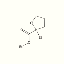 CCOC(=O)[N+]1(CC)C=CCO1